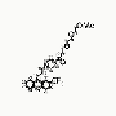 COCCOCCOCCOC(=O)N1CCN(CCCN2c3ccccc3Sc3ccc(C(F)(F)F)cc32)CC1